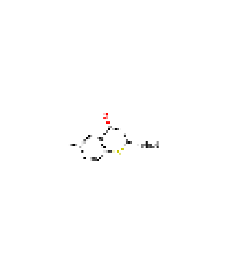 CCCCCCCC1CC(=O)c2cc(C)ccc2S1